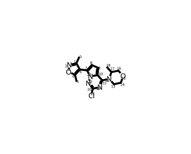 Cc1noc(C)c1-c1ccc2c(N3CCOCC3C)nc(Cl)nn12